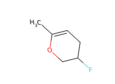 CC1=CCC(F)CO1